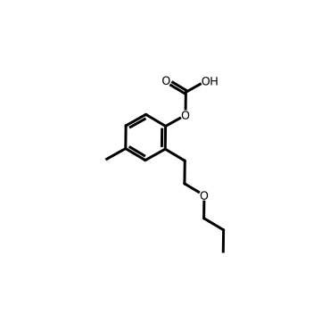 CCCOCCc1cc(C)ccc1OC(=O)O